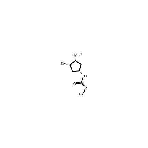 CC[C@H]1C[C@@H](NC(=O)OC(C)(C)C)C[C@H]1C(=O)O